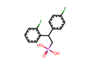 O=P(O)(O)CC(c1ccc(F)cc1)c1ccccc1F